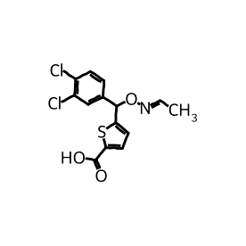 C/C=N/OC(c1ccc(Cl)c(Cl)c1)c1ccc(C(=O)O)s1